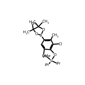 COc1cc(B2OC(C)(C)C(C)(C)O2)c(C)c(Cl)c1O[Si](C(C)C)(C(C)C)C(C)C